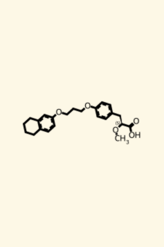 CO[C@@H](Cc1ccc(OCCCOc2ccc3c(c2)CCCC3)cc1)C(=O)O